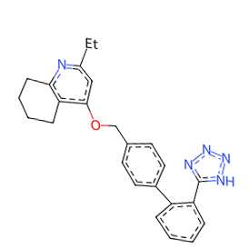 CCc1cc(OCc2ccc(-c3ccccc3-c3nnn[nH]3)cc2)c2c(n1)CCCC2